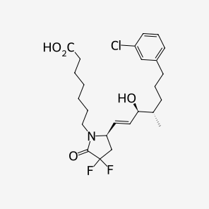 C[C@@H](CCCc1cccc(Cl)c1)[C@H](O)C=C[C@H]1CC(F)(F)C(=O)N1CCCCCCC(=O)O